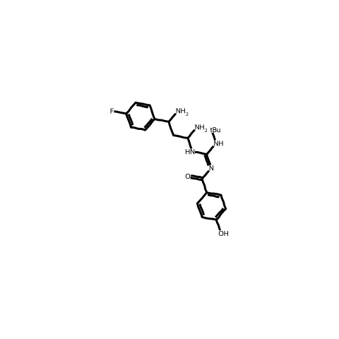 CC(C)(C)N/C(=N/C(=O)c1ccc(O)cc1)NC(N)CC(N)c1ccc(F)cc1